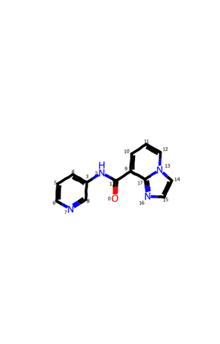 O=C(Nc1cccnc1)c1cccn2ccnc12